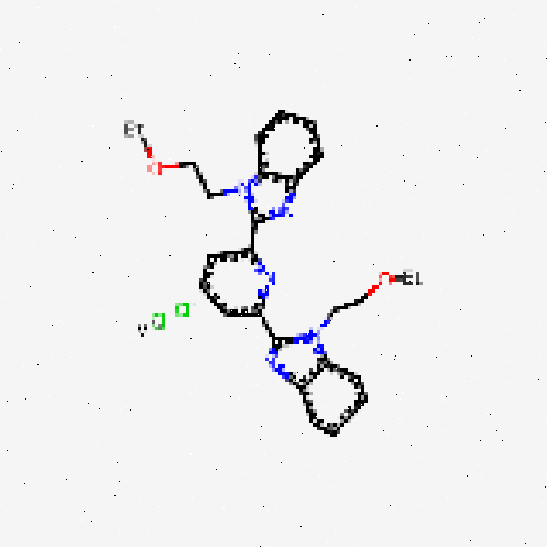 CCOCCn1c(-c2cccc(-c3nc4ccccc4n3CCOCC)n2)nc2ccccc21.[Cl-].[Cl-].[V+2]